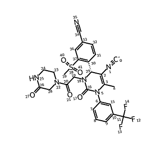 [C-]#[N+]C1=C(C)N(c2cccc(C(F)(F)F)c2)C(=O)N(CC(=O)N2CCNC(=O)C2)[C@@H]1c1ccc(C#N)cc1S(C)(=O)=O